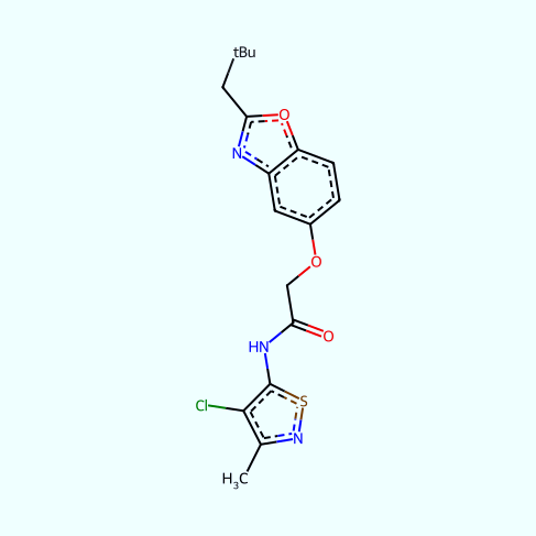 Cc1nsc(NC(=O)COc2ccc3oc(CC(C)(C)C)nc3c2)c1Cl